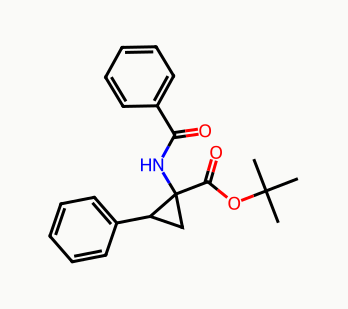 CC(C)(C)OC(=O)C1(NC(=O)c2ccccc2)CC1c1ccccc1